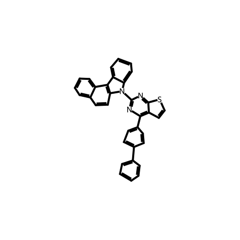 c1ccc(-c2ccc(-c3nc(-n4c5ccccc5c5c6ccccc6ccc54)nc4sccc34)cc2)cc1